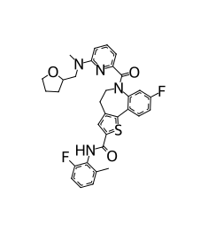 Cc1cccc(F)c1NC(=O)c1cc2c(s1)-c1ccc(F)cc1N(C(=O)c1cccc(N(C)CC3CCCO3)n1)CC2